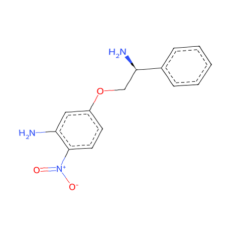 Nc1cc(OC[C@@H](N)c2ccccc2)ccc1[N+](=O)[O-]